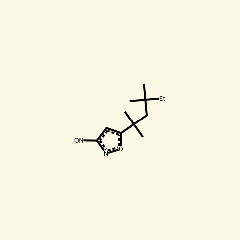 CCC(C)(C)CC(C)(C)c1cc(N=O)no1